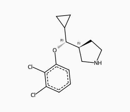 Clc1cccc(O[C@H](C2CC2)[C@H]2CCNC2)c1Cl